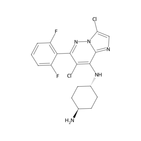 N[C@H]1CC[C@H](Nc2c(Cl)c(-c3c(F)cccc3F)nn3c(Cl)cnc23)CC1